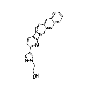 OCCn1cc(-c2ccc3[nH]n(Cc4cc5cccnc5cc4F)c3n2)cn1